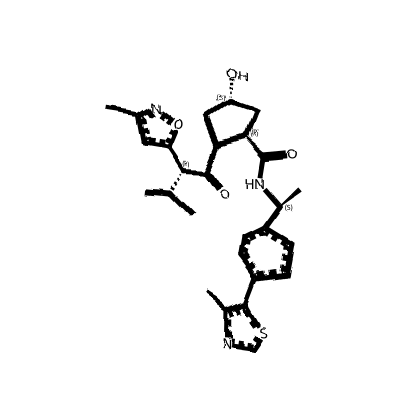 Cc1cc([C@H](C(=O)C2C[C@H](O)C[C@H]2C(=O)N[C@@H](C)c2ccc(-c3scnc3C)cc2)C(C)C)on1